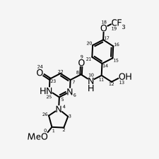 COC1CCN(c2nc(C(=O)NC(CO)c3ccc(OC(F)(F)F)cc3)cc(=O)[nH]2)C1